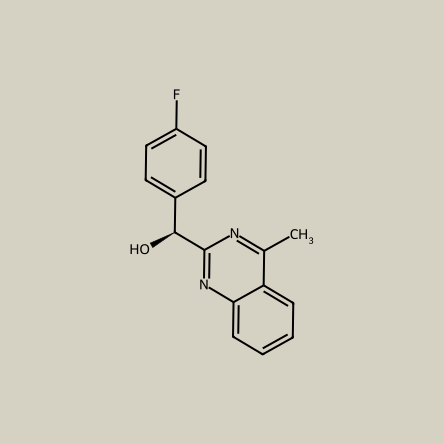 Cc1nc([C@@H](O)c2ccc(F)cc2)nc2ccccc12